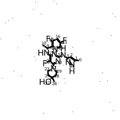 Cc1cc(Nc2nc(NC(C)c3ncc(F)cc3F)c(F)c(N3CCC(C)(O)CC3)n2)n[nH]1